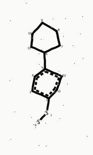 [S]Sc1ccc(C2CCCCC2)cc1